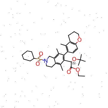 CCOC(=O)[C@@H](OC(C)(C)C)c1c(C)c2c(c(C)c1-c1ccc3c(c1C)CCCO3)CN(S(=O)(=O)C1CCCCC1)CC2